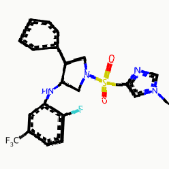 Cn1cnc(S(=O)(=O)N2CC(Nc3cc(C(F)(F)F)ccc3F)C(c3ccccc3)C2)c1